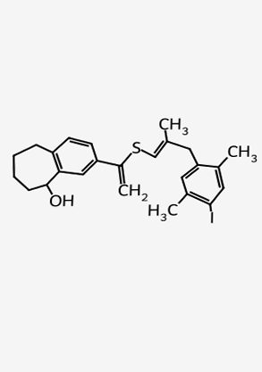 C=C(S/C=C(\C)Cc1cc(C)c(I)cc1C)c1ccc2c(c1)C(O)CCCC2